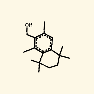 Cc1cc2c(c(C)c1CO)C(C)(C)CCC2(C)C